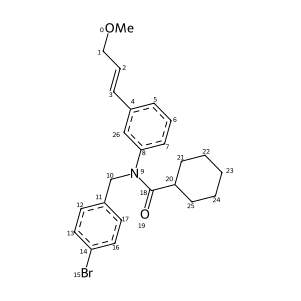 COCC=Cc1cccc(N(Cc2ccc(Br)cc2)C(=O)C2CCCCC2)c1